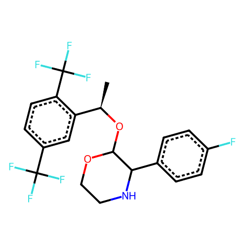 C[C@@H](OC1OCCNC1c1ccc(F)cc1)c1cc(C(F)(F)F)ccc1C(F)(F)F